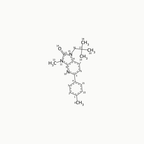 Cc1ccc(-c2ccc3c(n2)n(C)c(=O)n3CC(C)(C)C)cc1